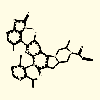 C=CC(=O)N1CC2Cc3c(c4cc(Cl)c(-c5c(C)ccc6[nH]c(=O)n(C)c56)nc4n(-c4c(C)ccnc4C(C)C)c3=O)N2CC1C